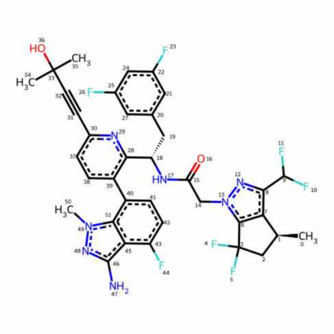 C[C@H]1CC(F)(F)c2c1c(C(F)F)nn2CC(=O)N[C@@H](Cc1cc(F)cc(F)c1)c1nc(C#CC(C)(C)O)ccc1-c1ccc(F)c2c(N)nn(C)c12